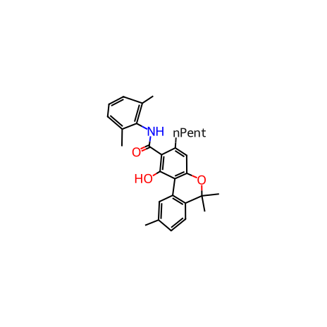 CCCCCc1cc2c(c(O)c1C(=O)Nc1c(C)cccc1C)-c1cc(C)ccc1C(C)(C)O2